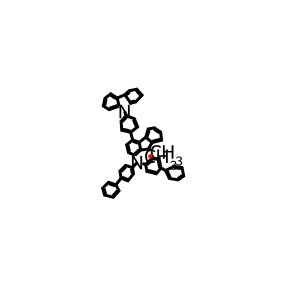 CC1(C)c2ccccc2-c2c(-c3ccc(-n4c5ccccc5c5ccccc54)cc3)ccc(N(c3ccc(-c4ccccc4)cc3)c3ccc(-c4ccccc4)cc3)c21